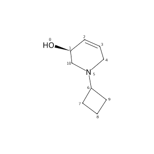 O[C@H]1C=CCN(C2CCC2)C1